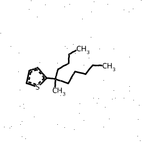 CCCCCC(C)(CCCC)c1cccs1